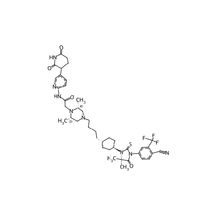 C[C@@H]1CN(CCCC[C@H]2CC[C@H](N3C(=S)N(c4ccc(C#N)c(C(F)(F)F)c4)C(=O)C3(C)C)CC2)C[C@H](C)N1CC(=O)Nc1ccc(C2CCC(=O)NC2=O)cn1